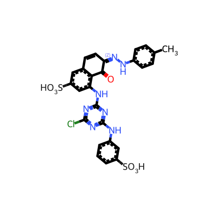 Cc1ccc(N/N=C2/C=Cc3cc(S(=O)(=O)O)cc(Nc4nc(Cl)nc(Nc5cccc(S(=O)(=O)O)c5)n4)c3C2=O)cc1